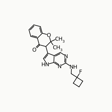 CC1(C)Oc2ccccc2C(=O)C1c1c[nH]c2nc(NCC3(F)CCC3)ncc12